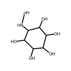 CCCNC1C(O)C(O)C(O)C(O)C1O